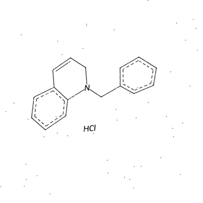 C1=Cc2ccccc2N(Cc2ccccc2)C1.Cl